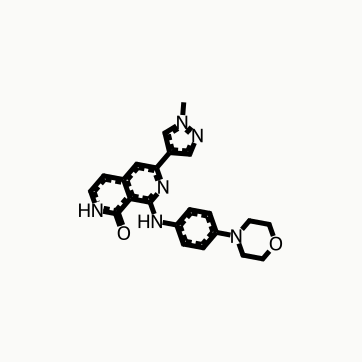 Cn1cc(-c2cc3cc[nH]c(=O)c3c(Nc3ccc(N4CCOCC4)cc3)n2)cn1